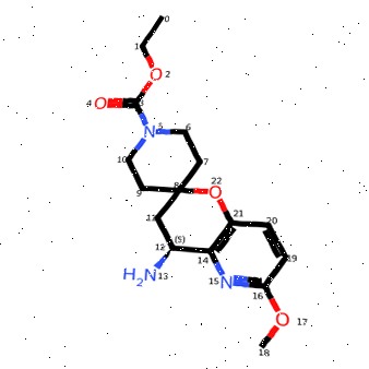 CCOC(=O)N1CCC2(CC1)C[C@H](N)c1nc(OC)ccc1O2